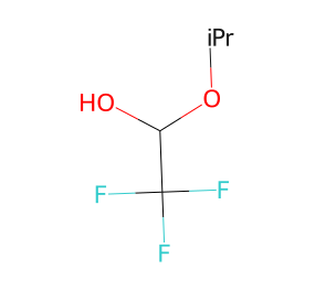 CC(C)OC(O)C(F)(F)F